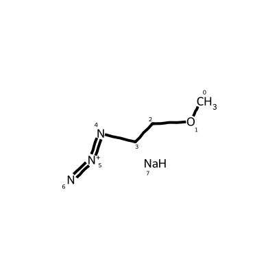 COCCN=[N+]=[N-].[NaH]